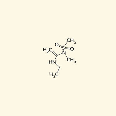 C=C(NCC)N(C)S(C)(=O)=O